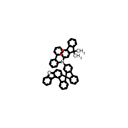 CC1(C)c2ccccc2-c2ccc(N(c3ccc4c(c3)C3(c5ccccc5-4)c4ccccc4-c4c3ccc3oc5ccccc5c43)c3ccccc3-c3ccccc3)cc21